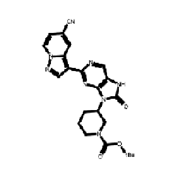 CC(C)(C)OC(=O)N1CCCC(n2c(=O)[nH]c3cnc(-c4cnn5ccc(C#N)cc45)nc32)C1